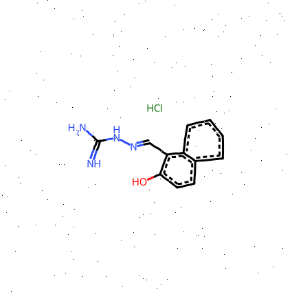 Cl.N=C(N)N/N=C/c1c(O)ccc2ccccc12